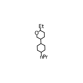 CCCC1CCC(C2CCC(CC)OC2)CC1